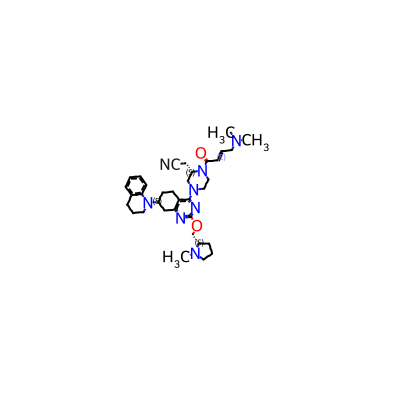 CN(C)C/C=C/C(=O)N1CCN(c2nc(OC[C@@H]3CCCN3C)nc3c2CC[C@H](N2CCCc4ccccc42)C3)C[C@@H]1CC#N